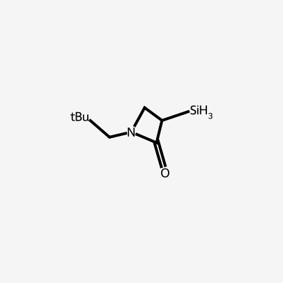 CC(C)(C)CN1CC([SiH3])C1=O